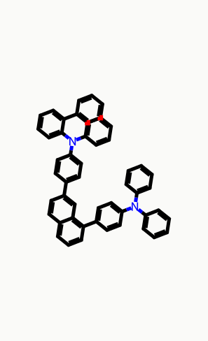 c1ccc(-c2ccccc2N(c2ccccc2)c2ccc(-c3ccc4cccc(-c5ccc(N(c6ccccc6)c6ccccc6)cc5)c4c3)cc2)cc1